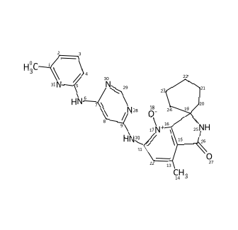 Cc1cccc(Nc2cc(Nc3cc(C)c4c([n+]3[O-])C3(CCCCC3)NC4=O)ncn2)n1